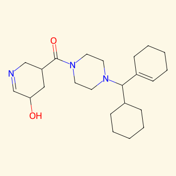 O=C(C1CN=CC(O)C1)N1CCN(C(C2=CCCCC2)C2CCCCC2)CC1